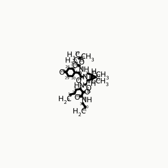 C=CCCC(NC(=O)[C@@H]1[C@@H]2[C@H](CN1C(=O)[C@@H](NC(=O)OC(C)(C)C)C1CCC(=O)CC1)C2(C)C)C(=O)C(=O)NCC=C